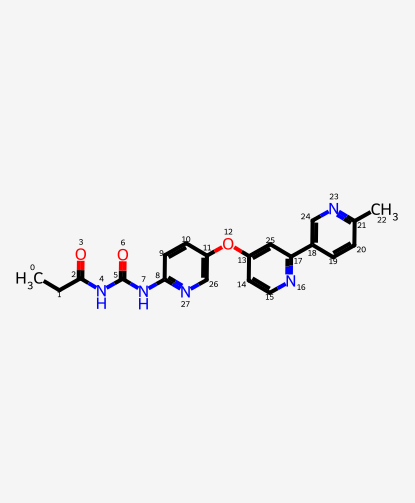 CCC(=O)NC(=O)Nc1ccc(Oc2ccnc(-c3ccc(C)nc3)c2)cn1